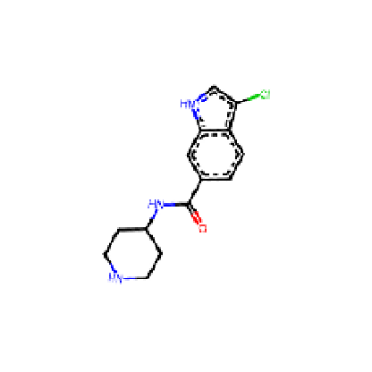 O=C(NC1CCNCC1)c1ccc2c(Cl)c[nH]c2c1